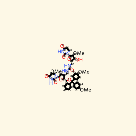 COc1ccc(C(OC[C@H]2O[C@@H](n3ccc(=O)[nH]c3=O)[C@H](OC)[C@@H]2CNC(=O)NC[C@H]2O[C@@H](n3ccc(=O)[nH]c3=O)[C@H](OC)[C@@H]2O)(c2ccccc2)c2ccc(OC)cc2)cc1